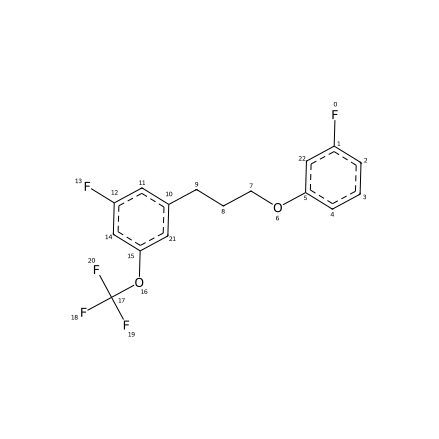 Fc1cccc(OCCCc2cc(F)cc(OC(F)(F)F)c2)c1